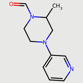 CC1CN(c2cccnc2)CCN1C=O